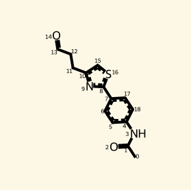 CC(=O)Nc1ccc(-c2nc(CCC=O)cs2)cc1